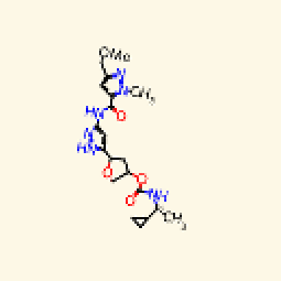 COCc1cc(C(=O)Nc2cc(C3CC(OC(=O)N[C@H](C)C4CC4)CO3)[nH]n2)n(C)n1